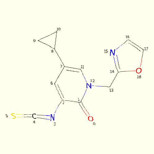 O=c1c(N=C=S)cc(C2CC2)cn1Cc1ncco1